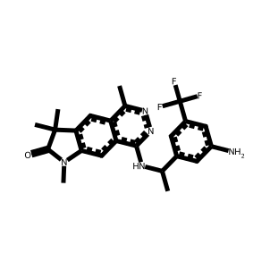 Cc1nnc(NC(C)c2cc(N)cc(C(F)(F)F)c2)c2cc3c(cc12)C(C)(C)C(=O)N3C